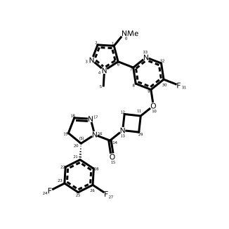 CNc1cnn(C)c1-c1cc(OC2CN(C(=O)N3N=CC[C@H]3c3cc(F)cc(F)c3)C2)c(F)cn1